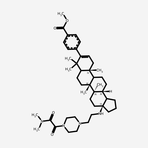 COC(=O)c1ccc(C2=CC[C@@]3(C)C(CC[C@]4(C)C3CC[C@@H]3C5CCC[C@]5(NCCN5CCN(C(=O)C(=O)N(C)C)CC5)CC[C@]34C)C2(C)C)cc1